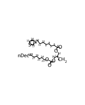 C=C(COC(=O)CCCCCCC[n+]1ccsc1)COC(=O)OCCCCCCCCCCCCCCCC